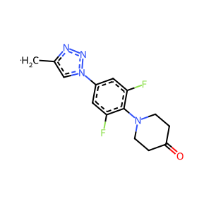 [CH2]c1cn(-c2cc(F)c(N3CCC(=O)CC3)c(F)c2)nn1